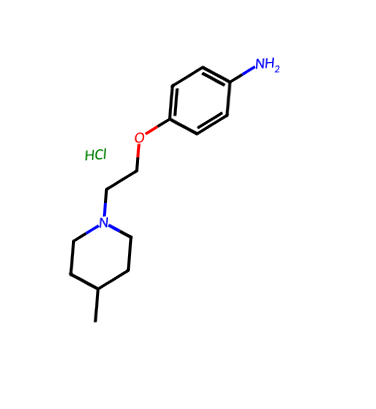 CC1CCN(CCOc2ccc(N)cc2)CC1.Cl